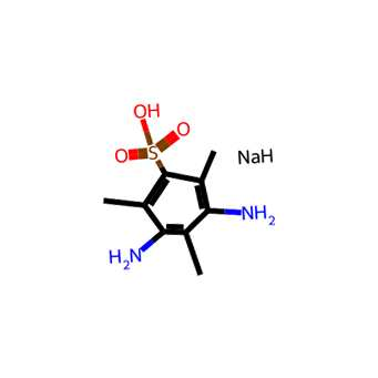 Cc1c(N)c(C)c(S(=O)(=O)O)c(C)c1N.[NaH]